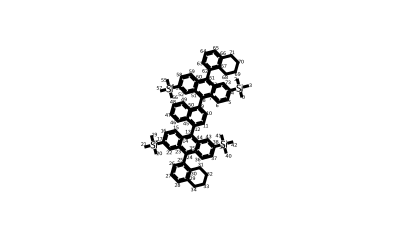 C[Si](C)(C)c1ccc2c(-c3ccc(-c4c5ccc([Si](C)(C)C)cc5c(-c5cccc6c5CCCC6)c5ccc([Si](C)(C)C)cc45)c4ccccc34)c3cc([Si](C)(C)C)ccc3c(-c3cccc4c3CCCC4)c2c1